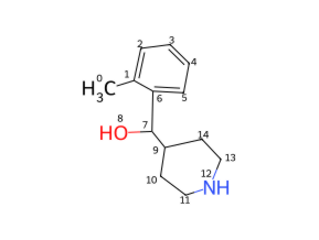 Cc1ccccc1C(O)C1CCNCC1